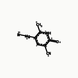 Cc1[nH]c(=O)c(C#N)c[c]1[Mg][Br]